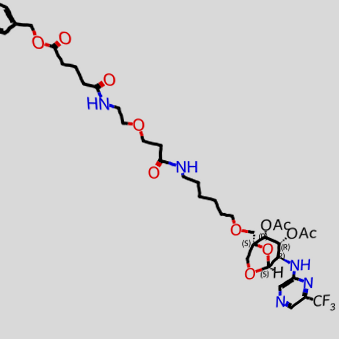 CC(=O)O[C@@H]1[C@@H](Nc2cncc(C(F)(F)F)n2)[C@H]2OC[C@](COCCCCCCNC(=O)CCOCCNC(=O)CCCC(=O)OCc3ccccc3)(O2)[C@@H]1OC(C)=O